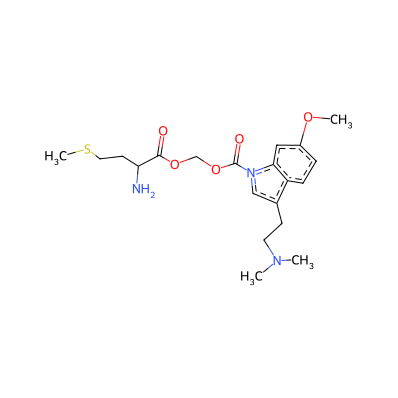 COc1ccc2c(CCN(C)C)cn(C(=O)OCOC(=O)C(N)CCSC)c2c1